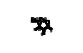 C=C(C(C)OCC)C(C)OCC